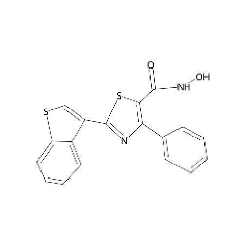 O=C(NO)c1sc(-c2csc3ccccc23)nc1-c1ccccc1